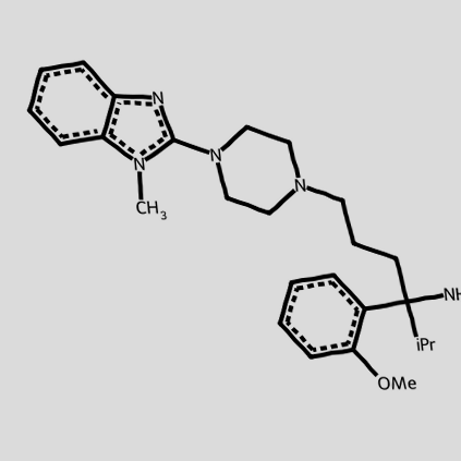 COc1ccccc1C(N)(CCCN1CCN(c2nc3ccccc3n2C)CC1)C(C)C